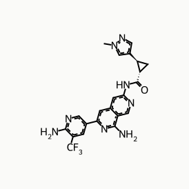 Cn1cc([C@H]2C[C@@H]2C(=O)Nc2cc3cc(-c4cnc(N)c(C(F)(F)F)c4)nc(N)c3cn2)cn1